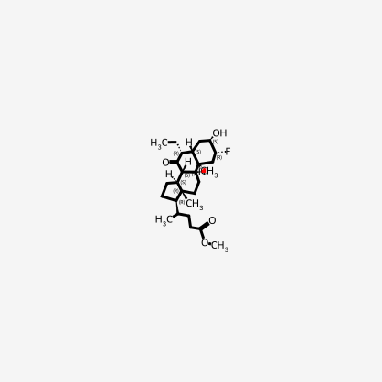 CC[C@H]1C(=O)[C@@H]2[C@H](CC[C@]3(C)[C@@H](C(C)CCC(=O)OC)CC[C@@H]23)[C@@]2(C)C[C@@H](F)[C@@H](O)C[C@@H]12